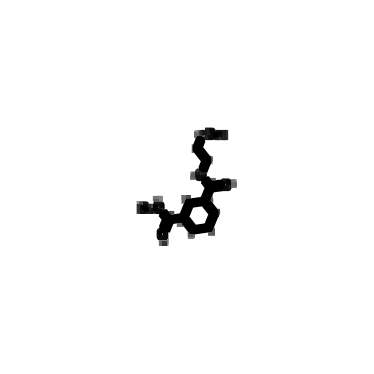 CCCCCCCCCCCCOC(=O)C1CCCC(C(=O)OCC(C)C)C1